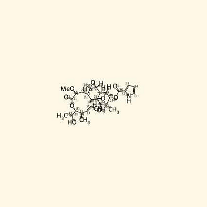 CO[C@H]1C[C@H]2[C@@H]3O[C@@H]3[C@H]3[C@H]4O[C@]2(C(C)=C[C@@H](C)[C@@H]([C@@H](C)O)OC1=O)[C@@H]3[C@H](O)[C@@H](C)[C@H]4OC(=O)c1ccc[nH]1